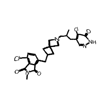 CC(Cc1cn[nH]c(=O)c1Cl)CN1CC2(CC(Cc3ccc(Cl)c4c3C(=O)N(C)C4=O)C2)C1